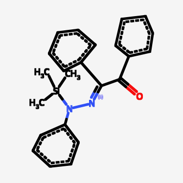 C[Si](C)(C)N(/N=C(/C(=O)c1ccccc1)c1ccccc1)c1ccccc1